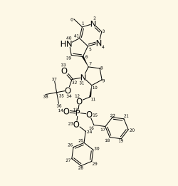 Cc1ncnc2c([C@H]3CC[C@@H](COP(=O)(OCc4ccccc4)OCc4ccccc4)N3C(=O)OC(C)(C)C)c[nH]c12